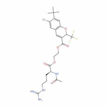 CC(=O)N[C@@H](CCCNC(=N)N)C(=O)OCCOC(=O)C1=Cc2cc(Cl)c(C(C)(C)C)cc2OC1C(F)(F)F